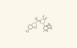 COc1ccc2c(c1)OCC(C(=O)N1CC(c3cc(C)nc4ncnn34)CC(F)(F)C1)C2